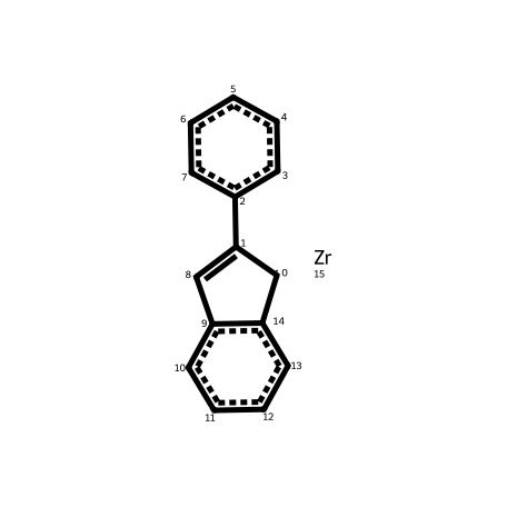 [CH]1C(c2ccccc2)=Cc2ccccc21.[Zr]